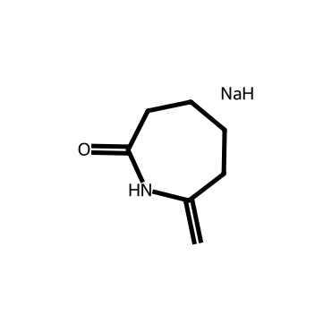 C=C1CCCCC(=O)N1.[NaH]